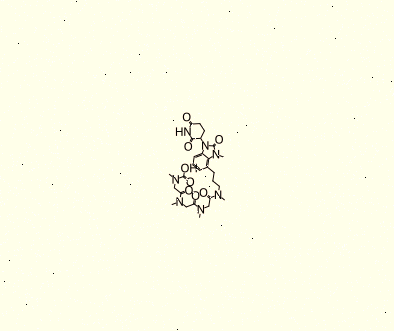 CN(CC(=O)N(C)CC(=O)N(C)CC(=O)N(C)CCCc1cccc2c1n(C)c(=O)n2C1CCC(=O)NC1=O)C(=O)O